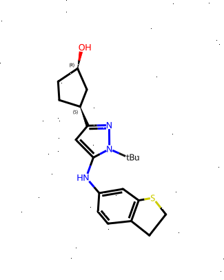 CC(C)(C)n1nc([C@H]2CC[C@@H](O)C2)cc1Nc1ccc2c(c1)SCC2